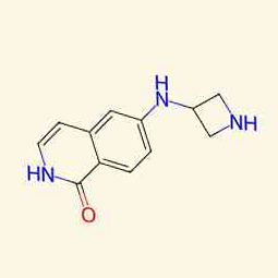 O=c1[nH]ccc2cc(NC3CNC3)ccc12